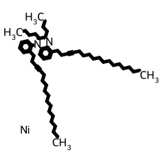 CCCCCCCCCCCCCCC#CCCc1ccccc1N=C(CCCC)C(CCCC)=Nc1ccccc1CCC#CCCCCCCCCCCCCCC.[Ni]